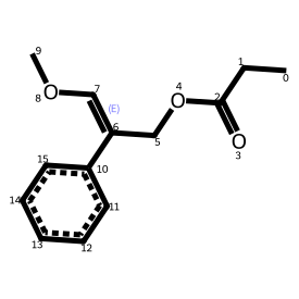 CCC(=O)OC/C(=C/OC)c1ccccc1